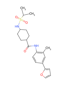 Cc1cc(-c2ccco2)ccc1NC(=O)C1CCC(NS(=O)(=O)C(C)C)CC1